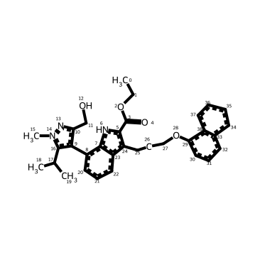 CCOC(=O)c1[nH]c2c(-c3c(CO)nn(C)c3C(C)C)cccc2c1CCCOc1cccc2ccccc12